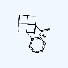 NC(=S)C12CC3CC4CC(c5ccccc5)(C1)C342